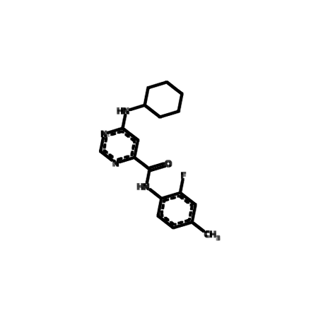 Cc1ccc(NC(=O)c2cc(NC3CCCCC3)ncn2)c(F)c1